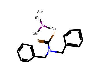 CC(C)(C)P(C(C)(C)C)C(C)(C)C.S=C([S-])N(Cc1ccccc1)Cc1ccccc1.[Au+]